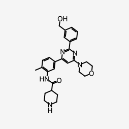 Cc1ccc(-c2cc(N3CCOCC3)nc(-c3cccc(CO)c3)n2)cc1NC(=O)C1CCNCC1